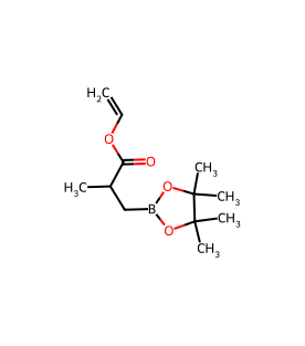 C=COC(=O)C(C)CB1OC(C)(C)C(C)(C)O1